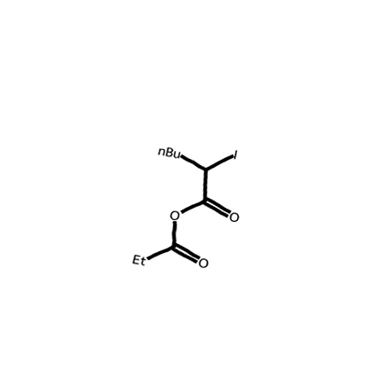 CCCCC(I)C(=O)OC(=O)CC